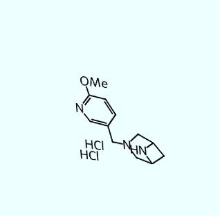 COc1ccc(CN2CC3CC(C2)N3)cn1.Cl.Cl